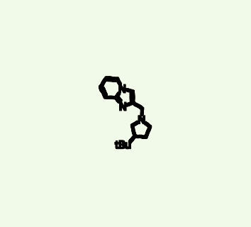 CC(C)(C)C1CCN(Cc2cn3ccccc3n2)C1